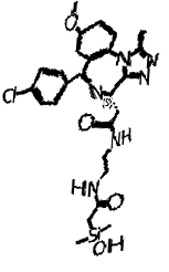 COc1ccc2c(c1)C(c1ccc(Cl)cc1)=N[C@@H](CC(=O)NCCNC(=O)C[Si](C)(C)O)c1nnc(C)n1-2